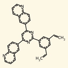 C=Cc1cc(C=C)cc(-c2nc(-c3ccc4ncccc4c3)cc(-c3ccc4ncccc4c3)n2)c1